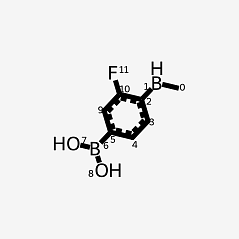 CBc1ccc(B(O)O)cc1F